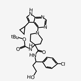 CC(C)(C)OC(=O)NC1(C(=O)NC(CCO)c2ccc(Cl)cc2)CCN(c2ncnc3[nH]cc(C4CC4)c23)CC1